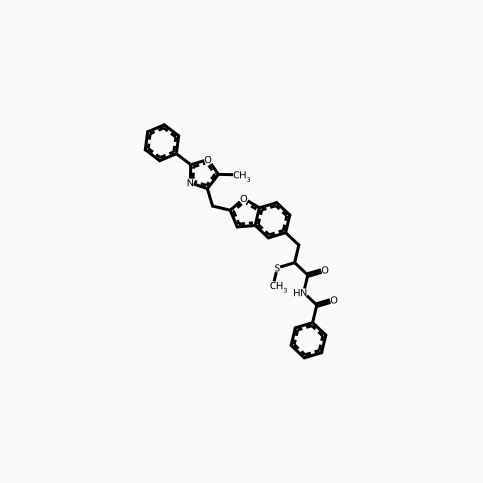 CSC(Cc1ccc2oc(Cc3nc(-c4ccccc4)oc3C)cc2c1)C(=O)NC(=O)c1ccccc1